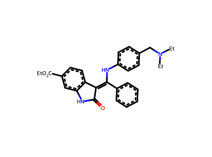 CCOC(=O)c1ccc2c(c1)NC(=O)C2=C(Nc1ccc(CN(CC)CC)cc1)c1ccccc1